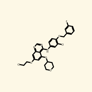 Fc1cccc(COc2ccc(Nc3ncnc4cc(OCCCl)cc(OC5CCOCC5)c34)cc2Cl)c1